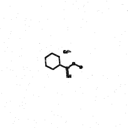 N=[N+](O[O])C1CCCCC1.[Cu+2]